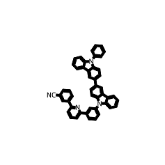 N#Cc1cccc(-c2cccc(-c3cccc(-n4c5ccccc5c5cc(-c6ccc7c(c6)c6ccccc6n7-c6ccccc6)ccc54)c3)n2)c1